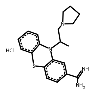 CC(CN1CCCC1)N1c2ccccc2Sc2ccc(C(=N)N)cc21.Cl